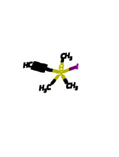 C#C[SH](C)(C)(C)I